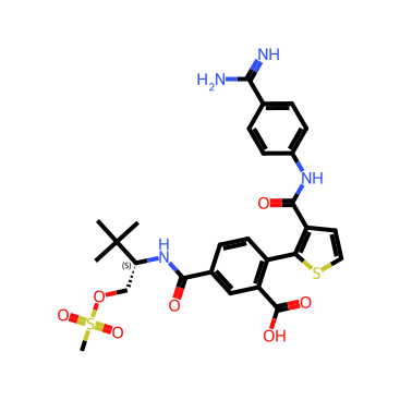 CC(C)(C)[C@@H](COS(C)(=O)=O)NC(=O)c1ccc(-c2sccc2C(=O)Nc2ccc(C(=N)N)cc2)c(C(=O)O)c1